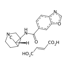 O=C(N[C@H]1CN2CCC1CC2)c1ccc2ncoc2c1.O=C(O)C=CC(=O)O